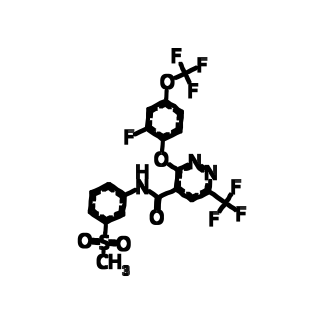 CS(=O)(=O)c1cccc(NC(=O)c2cc(C(F)(F)F)nnc2Oc2ccc(OC(F)(F)F)cc2F)c1